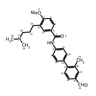 COc1ccc(C(=O)Nc2ccc(-c3ccc(C=O)cc3C)cc2)cc1CCCN(C)C